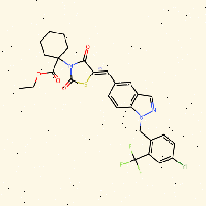 CCOC(=O)C1(N2C(=O)S/C(=C\c3ccc4c(cnn4Cc4ccc(Cl)cc4C(F)(F)F)c3)C2=O)CCCCC1